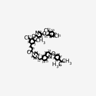 Cc1cc(C=CC(=O)N2CCN(Cc3ccc4nc(Oc5ccc(C(C)C)cc5)ccc4c3)CC2)cc(Cl)c1Oc1ccc(OCc2ccccc2Cl)cn1.Cl